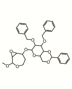 COC1OCCC(OC2OC3COC(c4ccccc4)OC3C(OCc3ccccc3)C2OCc2ccccc2)C2OC12